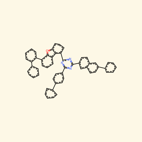 c1ccc(-c2ccc(-c3nc(-c4ccc5cc(-c6ccccc6)ccc5c4)nc(-c4cccc5oc6c(-c7ccccc7-c7ccccc7)cccc6c45)n3)cc2)cc1